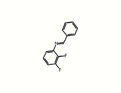 Fc1cccc(N=Cc2ccccc2)c1F